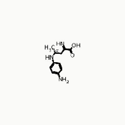 C[C@@H](CC(=N)C(=O)O)Nc1ccc(N)cc1